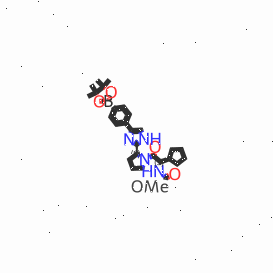 COC(=O)N[C@H](C(=O)N1CCC[C@H]1c1nc(-c2ccc(B3OC(C)(C)C(C)(C)O3)cc2)c[nH]1)C1CCCC1